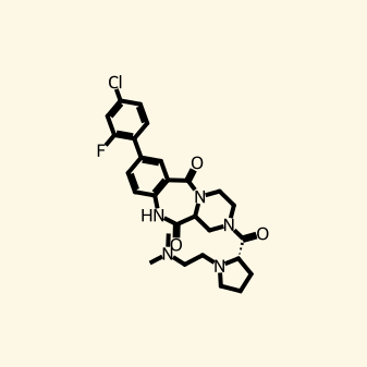 CN(C)CCN1CCC[C@H]1C(=O)N1CCN2C(=O)c3cc(-c4ccc(Cl)cc4F)ccc3NC(=O)C2C1